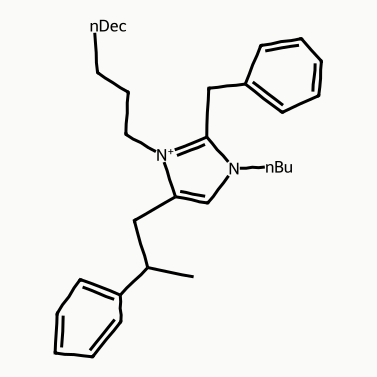 CCCCCCCCCCCCC[n+]1c(CC(C)c2ccccc2)cn(CCCC)c1Cc1ccccc1